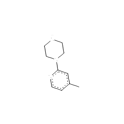 Cc1ccnc(N2CCNCC2)c1